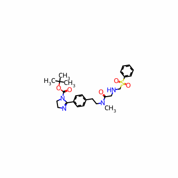 CN(CCc1ccc(C2=NCCN2C(=O)OC(C)(C)C)cc1)C(=O)CNCS(=O)(=O)c1ccccc1